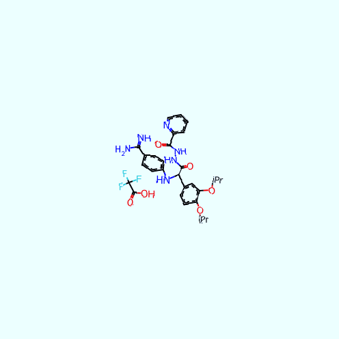 CC(C)Oc1ccc(C(Nc2ccc(C(=N)N)cc2)C(=O)NNC(=O)c2ccccn2)cc1OC(C)C.O=C(O)C(F)(F)F